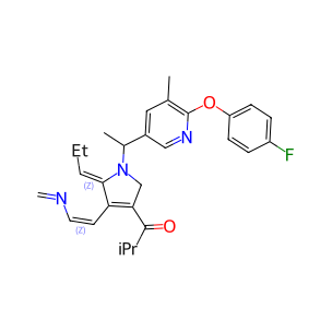 C=N/C=C\C1=C(C(=O)C(C)C)CN(C(C)c2cnc(Oc3ccc(F)cc3)c(C)c2)/C1=C\CC